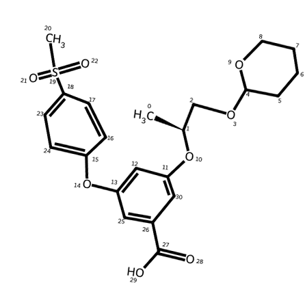 C[C@@H](COC1CCCCO1)Oc1cc(Oc2ccc(S(C)(=O)=O)cc2)cc(C(=O)O)c1